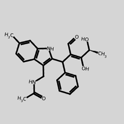 CC(=O)NCc1c(C(/C(C=O)=C(\O)[C@H](C)O)c2ccccc2)[nH]c2cc(C)ccc12